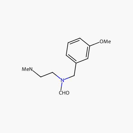 CNCCN(C=O)Cc1cccc(OC)c1